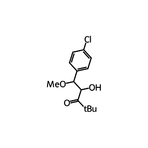 COC(c1ccc(Cl)cc1)C(O)C(=O)C(C)(C)C